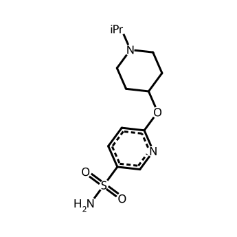 CC(C)N1CCC(Oc2ccc(S(N)(=O)=O)cn2)CC1